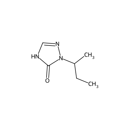 CCC(C)n1nc[nH]c1=O